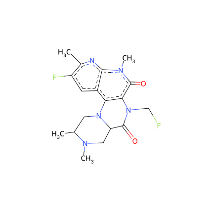 Cc1nc2c(cc1F)c1c(c(=O)n2C)N(CF)C(=O)C2CN(C)C(C)CN12